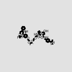 Cc1ncsc1-c1ccc(CNC(=O)[C@@H]2C[C@@H](O)CN2C(=O)[C@@H](NC(=O)COCCO[C@H](C)[C@@H](C)OCCOc2cc(F)c([C@@H]3c4[nH]c5ccccc5c4C[C@@H](C)N3CC(C)(C)F)c(F)c2)C(C)(C)C)cc1